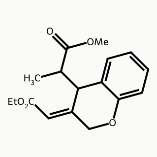 CCOC(=O)C=C1COc2ccccc2C1C(C)C(=O)OC